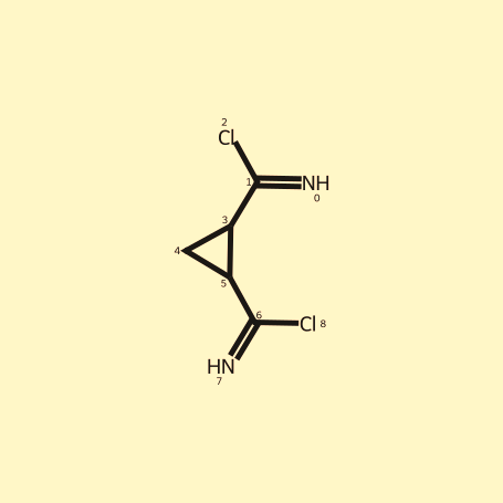 N=C(Cl)C1CC1C(=N)Cl